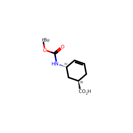 CC(C)(C)OC(=O)N[C@@H]1C=CC[C@@H](C(=O)O)C1